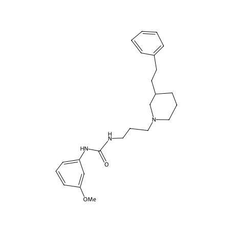 COc1cccc(NC(=O)NCCCN2CCCC(CCc3ccccc3)C2)c1